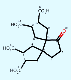 O=C(O)CCC1(CCC(=O)O)CCC(=O)C1(CCC(=O)O)CCC(=O)O